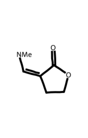 CNC=C1CCOC1=O